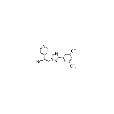 N#CC(=Cn1cnc(-c2cc(C(F)(F)F)cc(C(F)(F)F)c2)n1)c1ccncc1